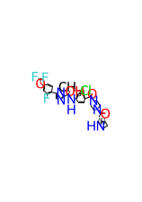 Cn1c(-c2ccc(OC(F)F)cc2F)cnc1C(O)Nc1ccc(C(=O)N2CCN(C(=O)C[C@@H]3CCCN3)CC2)c(Cl)c1